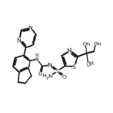 NS(=O)(=NC(=O)Nc1c(-c2ccncn2)ccc2c1CCC2)c1cnc(C(O)(O)CO)s1